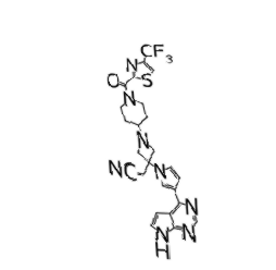 N#CCC1(n2ccc(-c3ncnc4[nH]ccc34)c2)CN(C2CCN(C(=O)c3nc(C(F)(F)F)cs3)CC2)C1